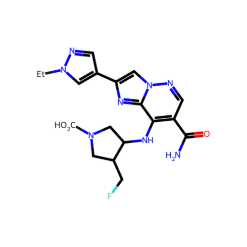 CCn1cc(-c2cn3ncc(C(N)=O)c(NC4CN(C(=O)O)CC4CF)c3n2)cn1